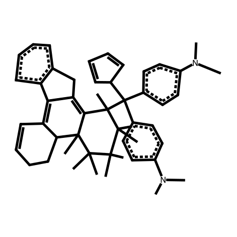 CN(C)c1ccc(C(c2ccc(N(C)C)cc2)(C2C=CC=C2)C2(C)C3=C4Cc5ccccc5C4=C4C=CCCC4C3(C)C(C)(C)C(C)(C)C2(C)C)cc1